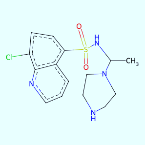 CC(NS(=O)(=O)c1ccc(Cl)c2ncccc12)N1CCNCC1